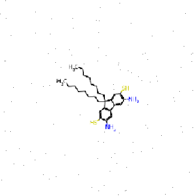 CCCCCCCCC1(CCCCCCCC)c2cc(S)c(N)cc2-c2cc(N)c(S)cc21